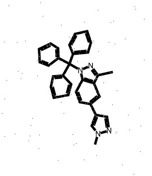 Cc1nn(C(c2ccccc2)(c2ccccc2)c2ccccc2)c2ccc(-c3cnn(C)c3)cc12